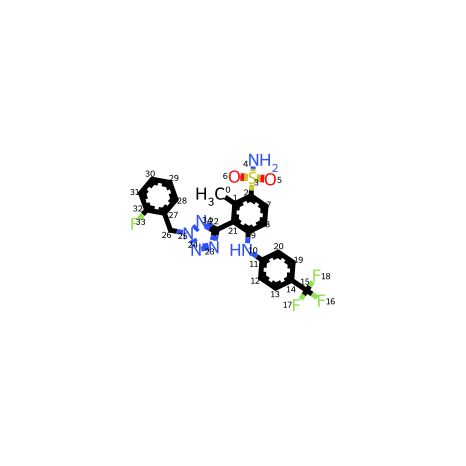 Cc1c(S(N)(=O)=O)ccc(Nc2ccc(C(F)(F)F)cc2)c1-c1nnn(Cc2ccccc2F)n1